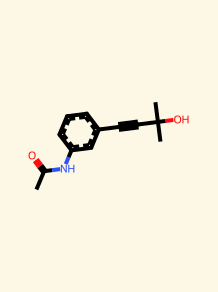 CC(=O)Nc1cccc(C#CC(C)(C)O)c1